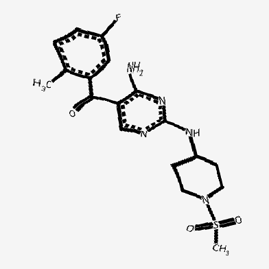 Cc1ccc(F)cc1C(=O)c1cnc(NC2CCN(S(C)(=O)=O)CC2)nc1N